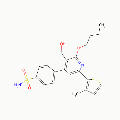 CCCCOc1nc(-c2sccc2C)cc(-c2ccc(S(N)(=O)=O)cc2)c1CO